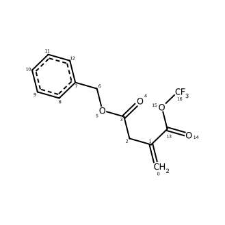 C=C(CC(=O)OCc1ccccc1)C(=O)OC(F)(F)F